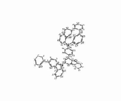 C1=CCCC(c2ccc3c(c2)c2ccccc2n3-c2cc(-c3ccc(N(c4cccc(-c5ccccc5)c4)c4cccc5ccccc45)cc3)c3oc4ccccc4c3c2)=C1